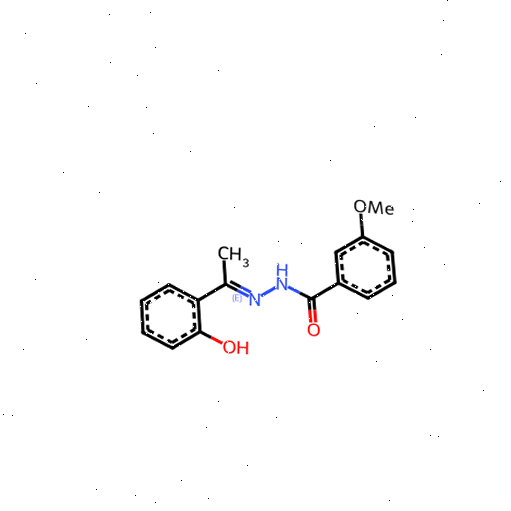 COc1cccc(C(=O)N/N=C(\C)c2ccccc2O)c1